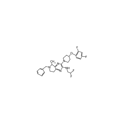 CC1c2nc(N3CCC(Oc4ccc(F)cc4F)CC3)c(NCC(F)F)nc2CCN1Cc1ccccc1